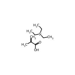 C=C(C)C(=O)O.CC[Si](CC)CC